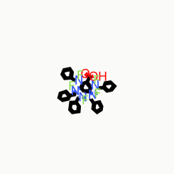 O=C(O)c1c(N(F)Cc2ccccc2)c(N(F)Cc2ccccc2)c(N(F)Cc2ccccc2)c(N(F)Cc2ccccc2)c1N(F)Cc1ccccc1